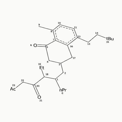 CCCC(CC1CC(=O)c2c(C)ccc(CCC(C)(C)C)c2C1)C(CC)C(=O)CC(C)=O